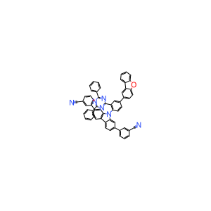 N#Cc1cccc(-c2ccc3c4ccc(-c5cccc(C#N)c5)cc4n(-c4ccc(-c5ccc6oc7ccccc7c6c5)cc4-c4nc(-c5ccccc5)nc(-c5ccccc5)n4)c3c2)c1